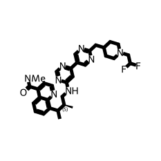 CNC(=O)c1ccnc2c(C(C)[C@H](C)CNc3cc(-c4cnc(CC5CCN(CC(F)F)CC5)nc4)ncn3)cccc12